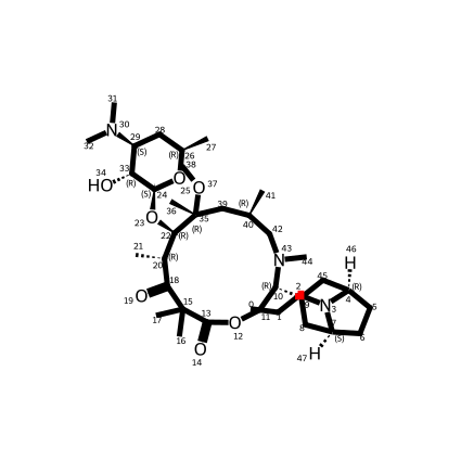 CCCN1[C@@H]2CC[C@H]1CC([C@@H]1COC(=O)C(C)(C)C(=O)[C@H](C)[C@@H](O[C@@H]3O[C@H](C)C[C@H](N(C)C)[C@H]3O)[C@](C)(OC)C[C@@H](C)CN1C)C2